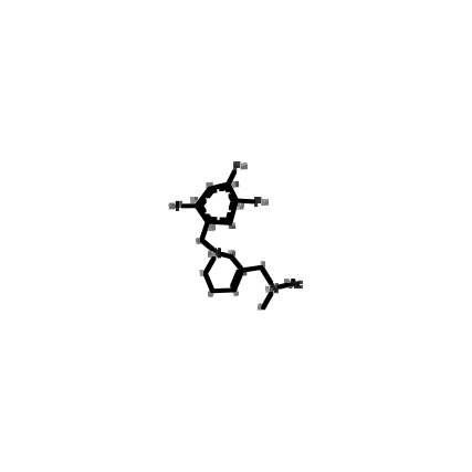 CC(=O)N(C)CC1=CCCN(Cc2cc(F)c(F)cc2F)C1